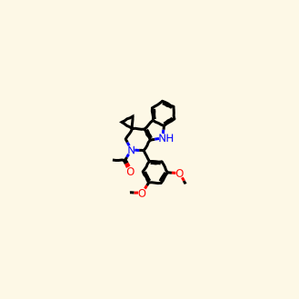 COc1cc(OC)cc(C2c3[nH]c4ccccc4c3C3(CC3)CN2C(C)=O)c1